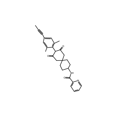 CC#Cc1cc(C)c(C2C(=O)CC3(CCC(NC(=O)c4ccccn4)CC3)CC2=O)c(C)c1